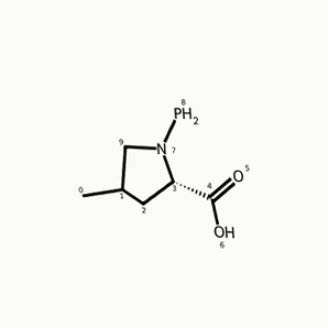 CC1C[C@@H](C(=O)O)N(P)C1